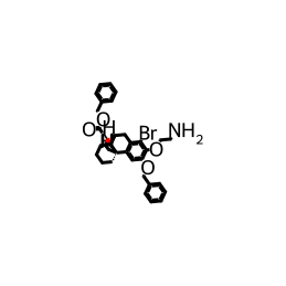 NCCOc1c(OCc2ccccc2)cc2c(c1Br)C[C@H]1[C@H]3CCCC[C@@]23CCN1C(=O)OCc1ccccc1